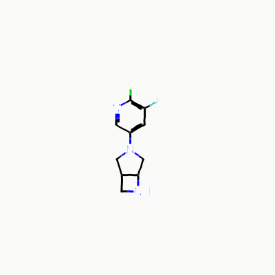 Fc1cc(N2CC3CNC3C2)cnc1Cl